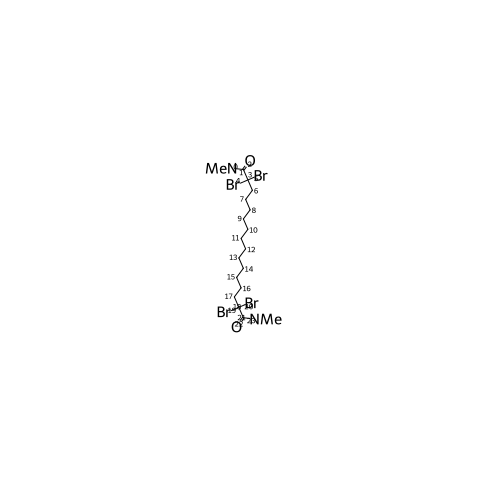 CNC(=O)C(Br)(Br)CCCCCCCCCCCCC(Br)(Br)C(=O)NC